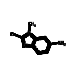 Cn1c(Cl)nc2ccc(N)cc21